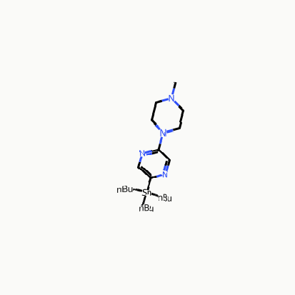 CCC[CH2][Sn]([CH2]CCC)([CH2]CCC)[c]1cnc(N2CCN(C)CC2)cn1